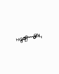 O=C(O)c1ccc(OCCCCCCc2cccc(O)c2O)c(Cl)c1